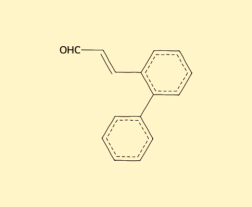 O=C/C=C/c1ccccc1-c1ccccc1